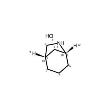 C1C[C@@H]2CN[C@H](C1)C2.Cl